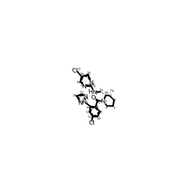 C[C@@H]1CCCN(C(=O)c2ccc(Cl)cc2-n2nccn2)[C@@H]1CNc1ncc(Cl)cn1